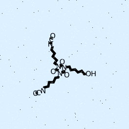 O=C=NCCCCCCn1c(=O)n(CCCCCCO)c(=O)n(CCCCCCN=C=O)c1=O